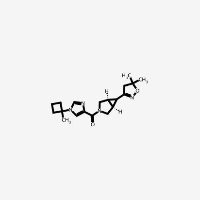 CC1(C)CC(C2[C@H]3CN(C(=O)c4cn(C5(C)CCC5)cn4)C[C@@H]23)=NO1